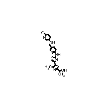 Cc1nc(C(C)O)sc1-c1csc(Nc2ccc(CNc3ccc(Cl)nc3)cn2)n1